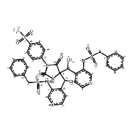 CC(c1ccncc1NS(=O)(=O)Cc1ccccc1)C1(C(C)c2ccncc2NS(=O)(=O)Cc2ccccc2)NC(=O)N(c2ccc(S(=O)(=O)C(F)(F)F)cc2)C1=O